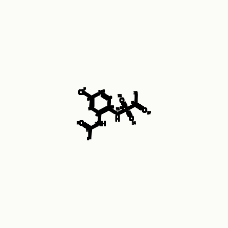 CC(=O)Nc1cc(Cl)ncc1NS(=O)(=O)C(C)=O